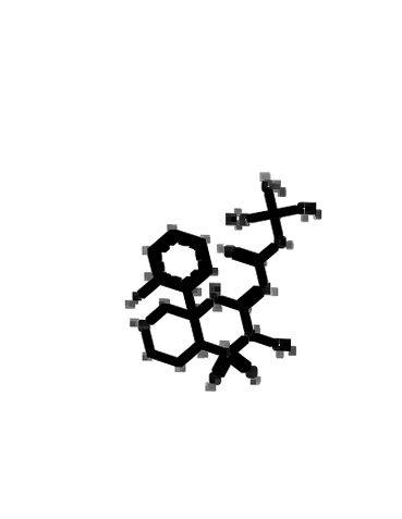 CN1/C(=N/C(=O)OC(C)(C)C)NC2(c3ccccc3F)COCCC2S1(=O)=O